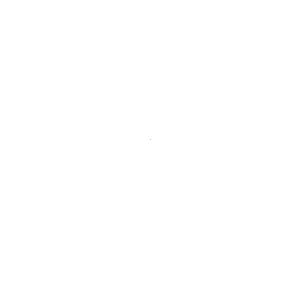 O=C(NC(C(=O)Cl)c1ccccc1)c1ccccc1